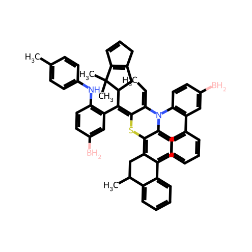 Bc1ccc(Nc2ccc(C)cc2)c(/C(=C2\Sc3c(ccc4c3CC(C)c3ccccc3-4)N(c3ccc(B)cc3-c3ccccc3)\C2=C\C)C2CC3=C(C=CC3)C2(C)C)c1